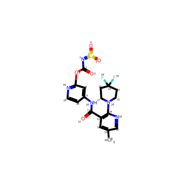 O=C(N=S(=O)=O)Oc1cc(NC(=O)c2cc(C(F)(F)F)cnc2N2CCC(F)(F)CC2)ccn1